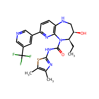 CC[C@@H]1[C@H](O)CNc2ccc(-c3cncc(C(F)(F)F)c3)nc2N1C(=O)Nc1nc(C)c(C)s1